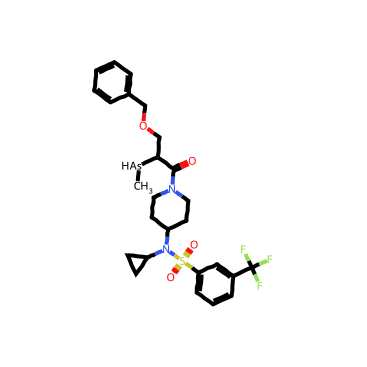 C[AsH]C(COCc1ccccc1)C(=O)N1CCC(N(C2CC2)S(=O)(=O)c2cccc(C(F)(F)F)c2)CC1